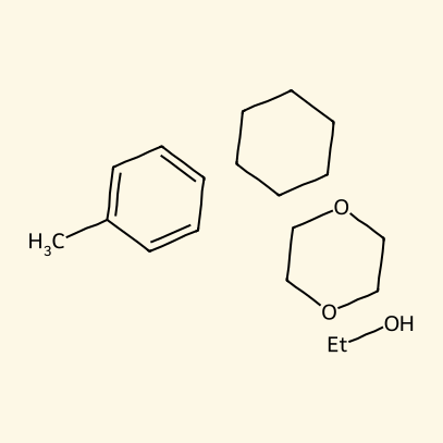 C1CCCCC1.C1COCCO1.CCO.Cc1ccccc1